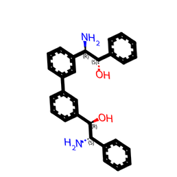 N[C@H](c1cccc(-c2cccc([C@@H](O)[C@@H](N)c3ccccc3)c2)c1)[C@@H](O)c1ccccc1